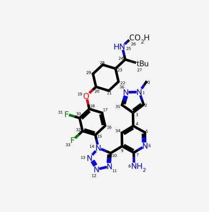 Cn1cc(-c2cnc(N)c(-c3nnnn3-c3ccc(OC4CCC(C(NC(=O)O)C(C)(C)C)CC4)c(F)c3F)c2)cn1